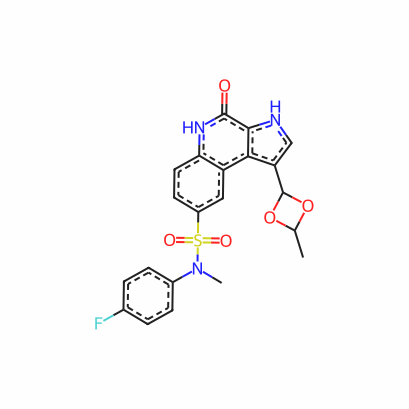 CC1OC(c2c[nH]c3c(=O)[nH]c4ccc(S(=O)(=O)N(C)c5ccc(F)cc5)cc4c23)O1